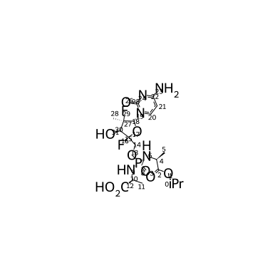 CC(C)OC(=O)[C@H](C)NP(=O)(N[C@@H](C)C(=O)O)OC[C@@]1(F)O[C@@H](n2ccc(N)nc2=O)[C@](C)(F)[C@@H]1O